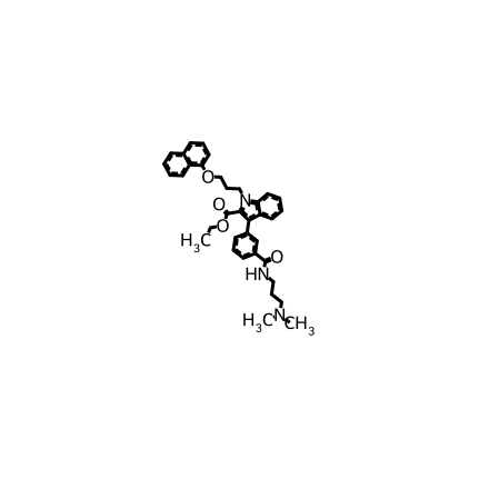 CCOC(=O)c1c(-c2cccc(C(=O)NCCCN(C)C)c2)c2ccccc2n1CCCOc1cccc2ccccc12